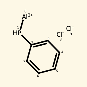 [Al+2][PH]c1ccccc1.[Cl-].[Cl-]